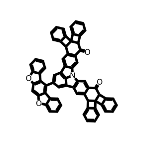 O=C1c2cc3c(cc2C2c4ccccc4C24c2ccccc2C14)c1cc(-c2c4c(cc5oc6ccccc6c25)oc2ccccc24)cc2c4cc5c(cc4n3c12)C(=O)C1c2ccccc2C12c1ccccc1C52